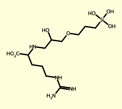 N=C(N)NCCCC(NCC(O)COCCC[Si](O)(O)O)C(=O)O